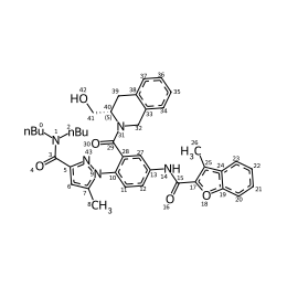 CCCCN(CCCC)C(=O)c1cc(C)n(-c2ccc(NC(=O)c3oc4ccccc4c3C)cc2C(=O)N2Cc3ccccc3C[C@H]2CO)n1